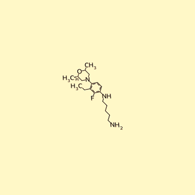 CCc1c(N2CC(C)O[C@H](C)C2)ccc(NCCCCCN)c1F